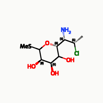 CSC1O[C@H]([C@H](N)[C@H](C)Cl)C(O)[C@@H](O)[C@H]1O